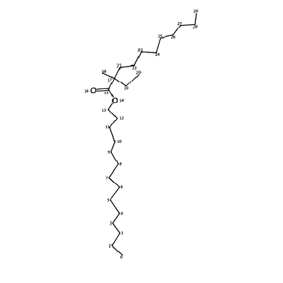 CCCCCCCCCCCCCCOC(=O)C(C)(CC)CCCCCCCCC